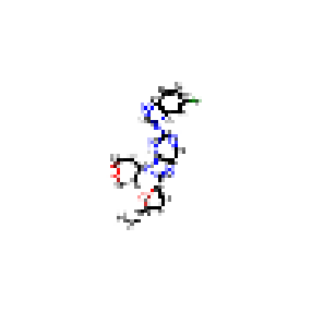 Cc1ccc(-c2nc3cnc(-n4cnc5ccc(F)cc54)nc3n2C2CCOCC2)o1